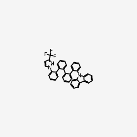 FC(F)(F)c1ccn(-c2ccccc2-c2ccccc2-c2ccccc2-c2ccccc2-n2c3ccccc3c3ccccc32)n1